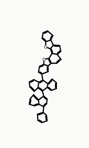 c1ccc(-c2ccc(-c3c4ccccc4c(-c4ccc5oc6c(ccc7ccc8c9ccccc9oc8c76)c5c4)c4ccccc34)c3ccccc23)cc1